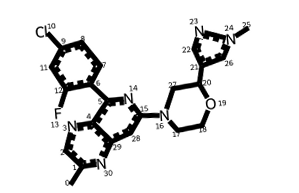 Cc1cnc2c(-c3ccc(Cl)cc3F)nc(N3CCOC(c4cnn(C)c4)C3)cc2n1